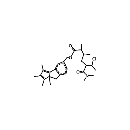 CC1=C(C)C2(C)Cc3ccc(COC(=O)C(C)C(C)CC(C(=O)N(C)C)C(C)Cl)cc3C2=C1C